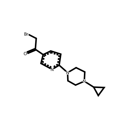 O=C(CBr)c1ccc(N2CCN(C3CC3)CC2)nc1